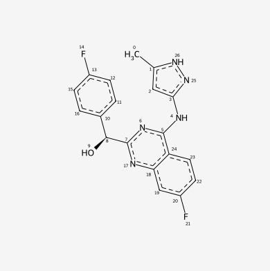 Cc1cc(Nc2nc([C@@H](O)c3ccc(F)cc3)nc3cc(F)ccc23)n[nH]1